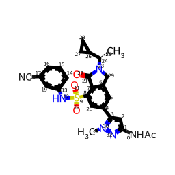 CC(=O)Nc1cc(-c2cc3c(c(S(=O)(=O)Nc4cccc(C#N)c4)c2)C(=O)N([C@@H](C)C2CC2)C3)n(C)n1